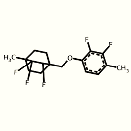 Cc1ccc(OCC23CCC(C)(CC2)C(F)(F)C3F)c(F)c1F